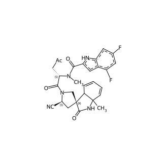 CC(=O)C[C@@H](C(=O)N1C[C@]2(C[C@H]1C#N)C(=O)NC1(C)C=CC=CC12)N(C)C(=O)c1cc2c(F)cc(F)cc2[nH]1